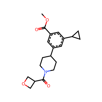 COC(=O)c1cc(C2CC2)cc(C2CCN(C(=O)C3COC3)CC2)c1